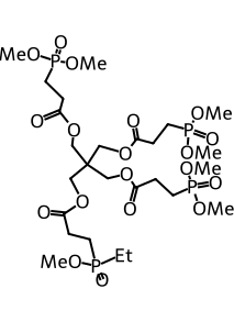 CCP(=O)(CCC(=O)OCC(COC(=O)CCP(=O)(OC)OC)(COC(=O)CCP(=O)(OC)OC)COC(=O)CCP(=O)(OC)OC)OC